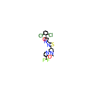 CC(Oc1ncccc1C(F)F)N1CCC(c2nc(C3=NO[C@@H](c4c(Cl)cccc4Cl)C3)cs2)CC1